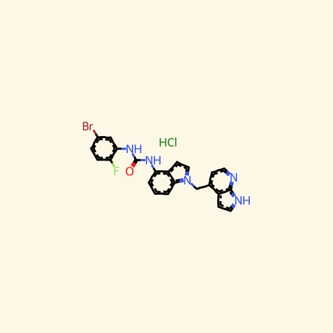 Cl.O=C(Nc1cc(Br)ccc1F)Nc1cccc2c1ccn2Cc1ccnc2[nH]ccc12